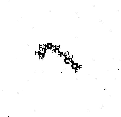 O=C(CCCNC(=O)c1cccn(Cc2ccc(F)c(F)c2)c1=O)Nc1ccc2c(c1)C(=Cc1cnc[nH]1)C(=O)N2